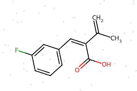 C=C(C)C(=Cc1cccc(F)c1)C(=O)O